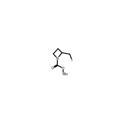 CC(C)(C)OC(=O)N1CCC1CI